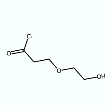 O=C(Cl)CCOCCO